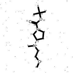 COCCN(C)[C@H]1CCN(C(=O)OC(C)(C)C)C1